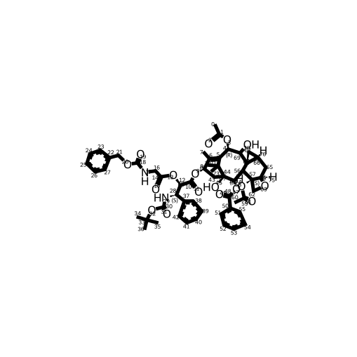 CC(=O)O[C@@H]1C2=C(C)[C@@H](OC(=O)[C@H](OC(=O)CNC(=O)OCc3ccccc3)[C@@H](NC(=O)OC(C)(C)C)c3ccccc3)C[C@@](O)([C@@H](OC(=O)c3ccccc3)[C@@H]3[C@]4(OC(C)=O)CO[C@@H]4C[C@@H]4C[C@@]43C1O)C2(C)C